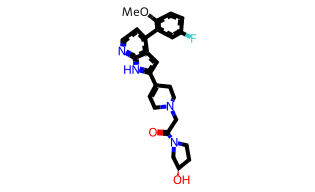 COc1ccc(F)cc1-c1ccnc2[nH]c(C3=CCN(CC(=O)N4CC[C@H](O)C4)CC3)cc12